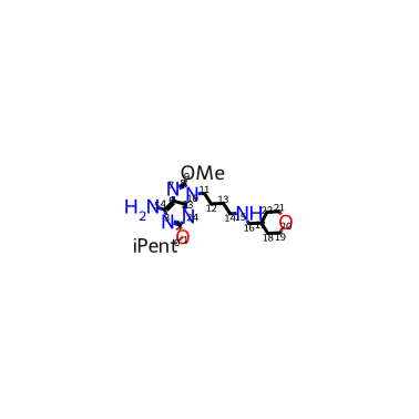 CCC[C@H](C)Oc1nc(N)c2nc(OC)n(CCCCNCC3CCOCC3)c2n1